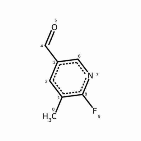 Cc1cc(C=O)cnc1F